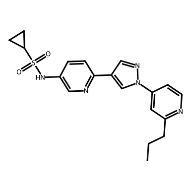 CCCc1cc(-n2cc(-c3ccc(NS(=O)(=O)C4CC4)cn3)cn2)ccn1